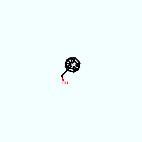 OC[C]12[CH]3[CH]4[CH]5[CH]1[Ru]45321678[CH]2[CH]1[CH]6[CH]7[CH]28